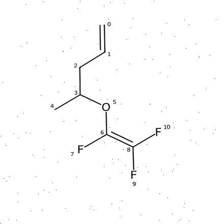 C=CCC(C)OC(F)=C(F)F